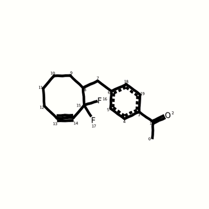 CC(=O)c1ccc(CC2CCCCC#CC2(F)F)cc1